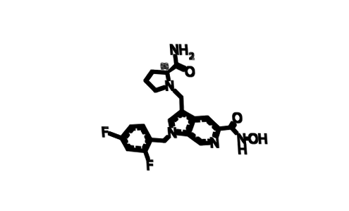 NC(=O)[C@@H]1CCCN1Cc1cn(Cc2ccc(F)cc2F)c2cnc(C(=O)NO)cc12